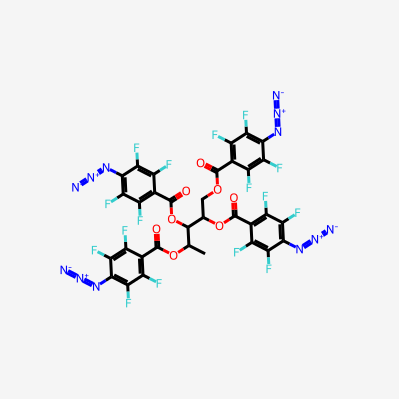 CC(OC(=O)c1c(F)c(F)c(N=[N+]=[N-])c(F)c1F)C(OC(=O)c1c(F)c(F)c(N=[N+]=[N-])c(F)c1F)C(COC(=O)c1c(F)c(F)c(N=[N+]=[N-])c(F)c1F)OC(=O)c1c(F)c(F)c(N=[N+]=[N-])c(F)c1F